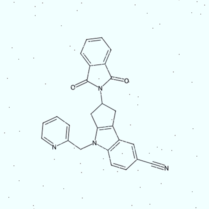 N#Cc1ccc2c(c1)c1c(n2Cc2ccccn2)CC(N2C(=O)c3ccccc3C2=O)C1